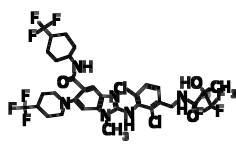 Cn1c(Nc2c(Cl)ccc(CNC(=O)[C@](C)(O)C(F)(F)F)c2Cl)nc2cc(C(=O)NC3CCC(C(F)(F)F)CC3)c(N3CCC(C(F)(F)F)CC3)cc21